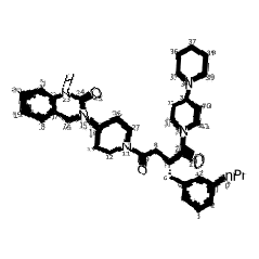 CCCc1cccc(C[C@H](CC(=O)N2CCC(N3Cc4ccccc4NC3=O)CC2)C(=O)N2CCC(N3CCCCC3)CC2)c1